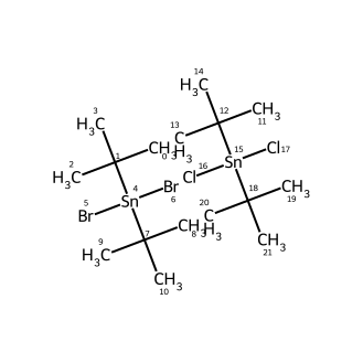 C[C](C)(C)[Sn]([Br])([Br])[C](C)(C)C.C[C](C)(C)[Sn]([Cl])([Cl])[C](C)(C)C